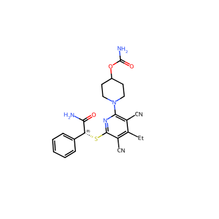 CCc1c(C#N)c(S[C@@H](C(N)=O)c2ccccc2)nc(N2CCC(OC(N)=O)CC2)c1C#N